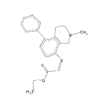 CCOC(=O)/C=N\c1ccc(-c2ccccc2)c2c1CN(C)CC2